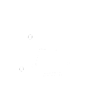 O=C1C=[C]C=CC1=O